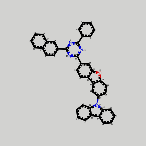 c1ccc(-c2nc(-c3ccc4ccccc4c3)nc(-c3ccc4c(c3)oc3ccc(-n5c6ccccc6c6ccccc65)cc34)n2)cc1